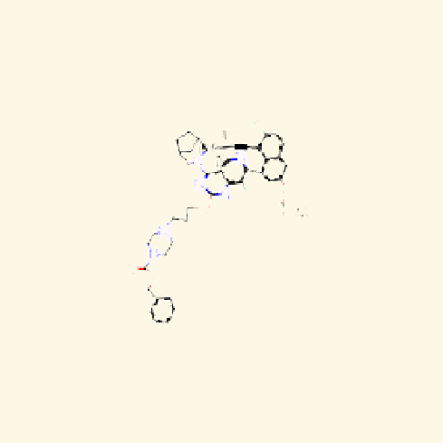 COCOc1cc(-c2ncc3c(N4CC5CCC(C5)C4)nc(OCCCN4CCN(C(=O)OCc5ccccc5)CC4)nc3c2F)c2c(C#C[Si](C(C)C)(C(C)C)C(C)C)c(F)ccc2c1